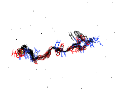 CC(C)[C@@H]1NC(=O)[C@@H](Cc2ccc(OCCCNC(=O)CCC(=O)NCCCOCCOCCOCCCNC(=O)c3ccc(N/N=C/c4ccccc4S(=O)(=O)O)nc3)cc2)NC(=O)[C@H](CC(=O)O)NC(=O)CNC(=O)[C@H](CCCNC(=N)N)NC1=O